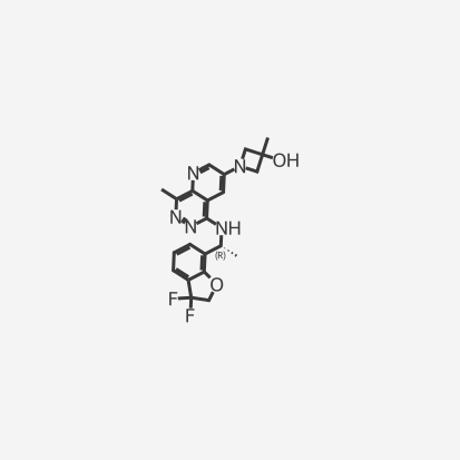 Cc1nnc(N[C@H](C)c2cccc3c2OCC3(F)F)c2cc(N3CC(C)(O)C3)cnc12